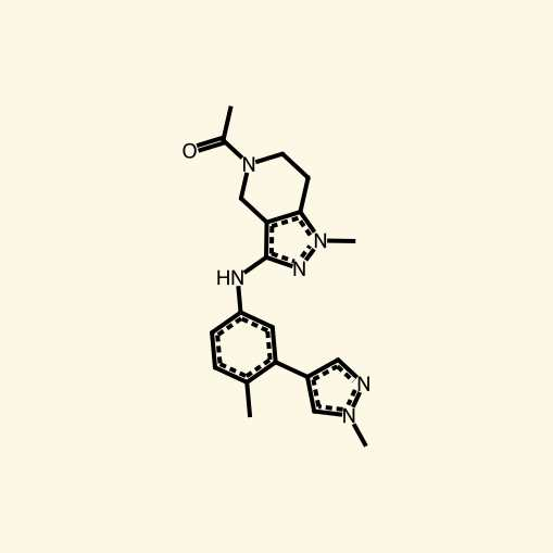 CC(=O)N1CCc2c(c(Nc3ccc(C)c(-c4cnn(C)c4)c3)nn2C)C1